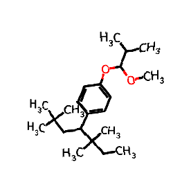 CCC(C)(C)C(CC(C)(C)C)c1ccc(OC(OC)C(C)C)cc1